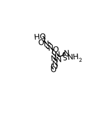 Nc1ncc(-c2nc(CC(=O)N3CCN(C(=O)CO)CC3)nc(N3CCOCC3)n2)s1